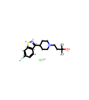 CCC(O)(CC)CCN1CCC(c2nsc3cc(F)ccc23)CC1.Cl